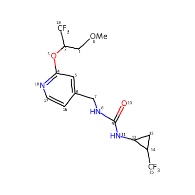 COCC(Oc1cc(CNC(=O)NC2CC2C(F)(F)F)ccn1)C(F)(F)F